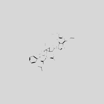 CCOc1nc(N)nc2c1ncn2[C@@H]1O[C@@H]2C(OP(=O)(N[C@H](C)C(=O)OC(C)C)Oc3ccccc3)[C@]2(C)[C@H]1OC(C)=O